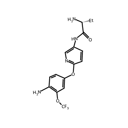 CC[C@@H](N)C(=O)Nc1ccc(Oc2ccc(N)c(OC(F)(F)F)c2)nc1